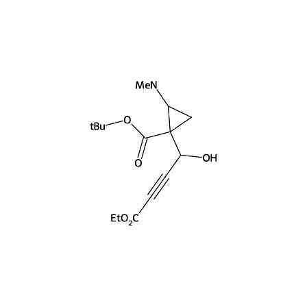 CCOC(=O)C#CC(O)C1(C(=O)OC(C)(C)C)CC1NC